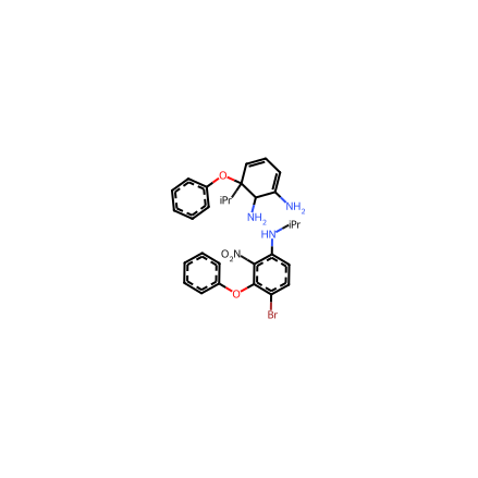 CC(C)C1(Oc2ccccc2)C=CC=C(N)C1N.CC(C)Nc1ccc(Br)c(Oc2ccccc2)c1[N+](=O)[O-]